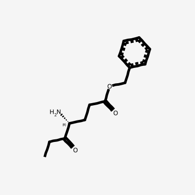 CCC(=O)[C@H](N)CCC(=O)OCc1ccccc1